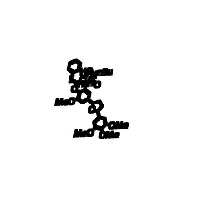 CCCCN(O)C(=O)Nc1cc(C2CCC(c3cc(OC)c(OC)c(OC)c3)O2)cc(OC)c1OC(C)Sc1ccccc1O